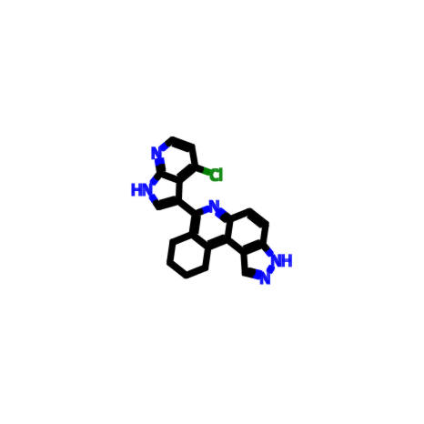 Clc1ccnc2[nH]cc(-c3nc4ccc5[nH]ncc5c4c4c3CCCC4)c12